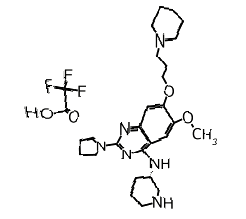 COc1cc2c(N[C@H]3CCCNC3)nc(N3CCCC3)nc2cc1OCCCN1CCCCC1.O=C(O)C(F)(F)F